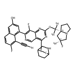 [2H]C#Cc1c(F)ccc2cc(O)cc(-c3ncc4c(N5CC6CCC5CN6)nc(OC([2H])([2H])[C@]56CCCN5C[C@@]([2H])(F)C6)nc4c3F)c12